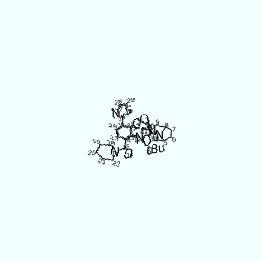 CC(C)(C)OC(=O)N1C2CCC1CN(c1nc3c(C(=O)N4CCCCC4)ccc(-c4nccs4)c3o1)C2